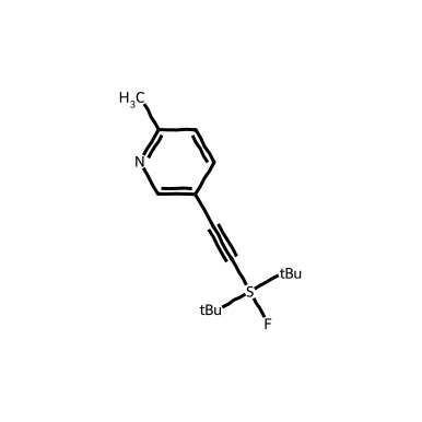 Cc1ccc(C#CS(F)(C(C)(C)C)C(C)(C)C)cn1